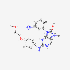 COCCOc1ccc(Nc2ncc3c(n2)n(-c2cccc(N)c2)c(=O)n3C)cc1